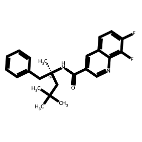 CC(C)(C)C[C@@](C)(Cc1ccccc1)NC(=O)c1cnc2c(F)c(F)ccc2c1